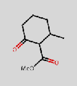 COC(=O)C1C(=O)CCCC1C